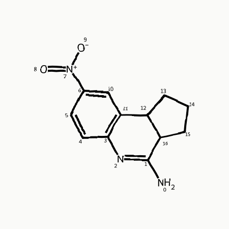 NC1=Nc2ccc([N+](=O)[O-])cc2C2CCCC12